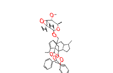 CO[C@H]1[C@@H]2O[C@@H]2[C@H](OCC23CC4C(C)CCC4C4(C5OCCO5)CC2C=C(C(C)C)C34C(=O)OC(c2ccccc2)c2ccccc2)O[C@@H]1C